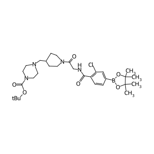 CC(C)(C)OC(=O)N1CCN(CC2CCN(C(=O)CNC(=O)c3ccc(B4OC(C)(C)C(C)(C)O4)cc3Cl)CC2)CC1